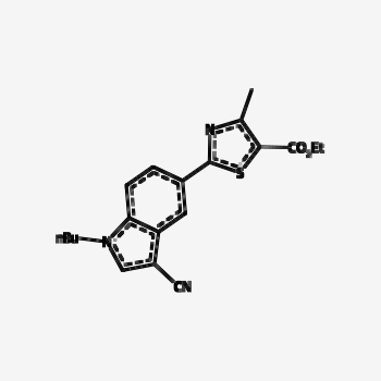 CCCCn1cc(C#N)c2cc(-c3nc(C)c(C(=O)OCC)s3)ccc21